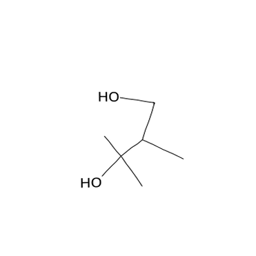 CC(CO)C(C)(C)O